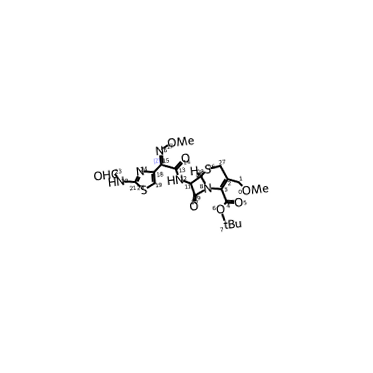 COCC1=C(C(=O)OC(C)(C)C)N2C(=O)C(NC(=O)/C(=N\OC)c3csc(NC=O)n3)[C@H]2SC1